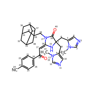 Cn1cncc1CC1(Cc2cncn2C)NC(=CC(=O)c2ccc(C#N)cc2)N(CC23CC4CC(CC(C4)C2)C3)C1=O